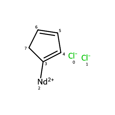 [Cl-].[Cl-].[Nd+2][C]1=CC=CC1